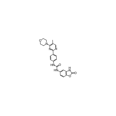 Cc1cnc(-c2ccc(NC(=O)Nc3ccc4oc(=O)[nH]c4c3)cc2)nc1N1CCOCC1